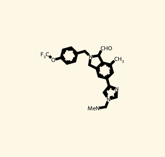 CNCn1cnc(-c2cc(C)c3c(c2)CN(Cc2ccc(OC(F)(F)F)cc2)C3C=O)c1